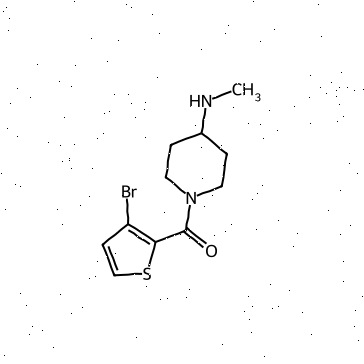 CNC1CCN(C(=O)c2sccc2Br)CC1